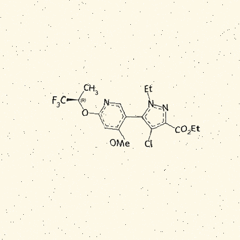 CCOC(=O)c1nn(CC)c(-c2cnc(O[C@H](C)C(F)(F)F)cc2OC)c1Cl